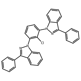 Clc1c(-n2nc(-c3ccccc3)c3ccccc32)cccc1-n1nc(-c2ccccc2)c2ccccc21